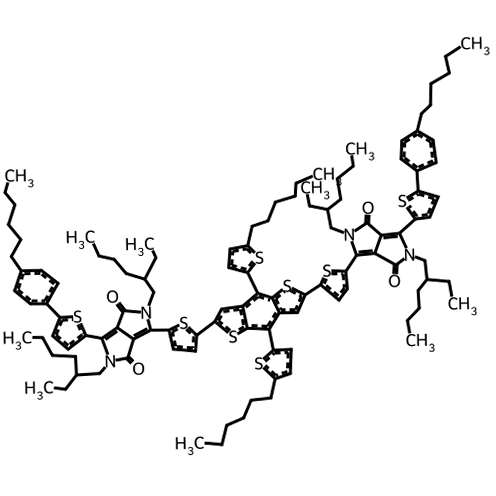 CCCCCCc1ccc(-c2ccc(C3=C4C(=O)N(CC(CC)CCCC)C(c5ccc(-c6cc7c(-c8ccc(CCCCCC)s8)c8sc(-c9ccc(C%10=C%11C(=O)N(CC(CC)CCCC)C(c%12ccc(-c%13ccc(CCCCCC)cc%13)s%12)=C%11C(=O)N%10CC(CC)CCCC)s9)cc8c(-c8ccc(CCCCCC)s8)c7s6)s5)=C4C(=O)N3CC(CC)CCCC)s2)cc1